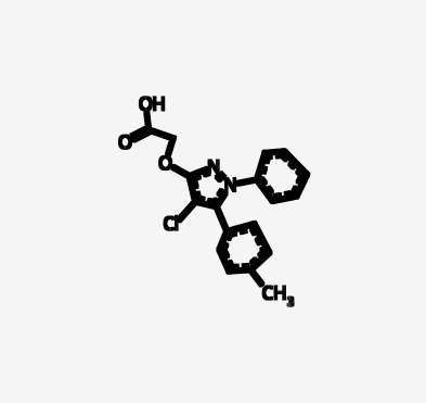 Cc1ccc(-c2c(Cl)c(OCC(=O)O)nn2-c2ccccc2)cc1